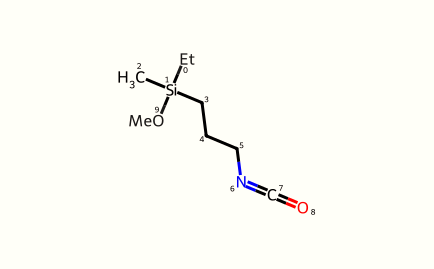 CC[Si](C)(CCCN=C=O)OC